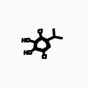 CC(C)c1cc(Cl)c(O)c(O)c1Cl